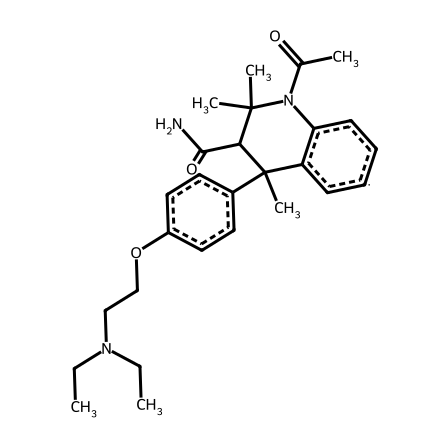 CCN(CC)CCOc1ccc(C2(C)c3c[c]ccc3N(C(C)=O)C(C)(C)C2C(N)=O)cc1